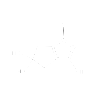 Cc1sc(C)c2c1CC(C)(C)C2